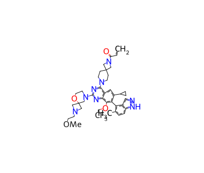 C=CC(=O)N1CC2(CCN(c3nc(N4CCOC5(CN(CCOC)C5)C4)nc4c(OCC(F)(F)F)c(-c5c(C)ccc6[nH]ncc56)c(C5CC5)cc34)CC2)C1